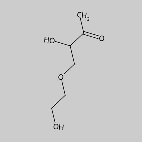 CC(=O)C(O)COCCO